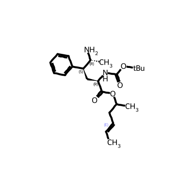 C/C=C/CC(C)OC(=O)[C@@H](C[C@@H](c1ccccc1)[C@@H](C)N)NC(=O)OC(C)(C)C